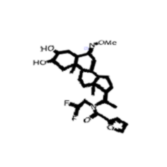 CO/N=C1\C=C2C(CCC3(C)C2CCC3C(C)N(CC(F)F)C(=O)c2ccco2)C2(C)CC(O)C(O)CC12